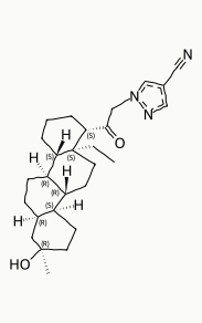 CC[C@]12CC[C@H]3[C@@H](CC[C@@H]4C[C@](C)(O)CC[C@@H]43)[C@@H]1CCC[C@@H]2C(=O)Cn1cc(C#N)cn1